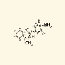 C[C@@H](N[C@H](C)c1cc(F)c(N)c(F)c1)c1ccccc1